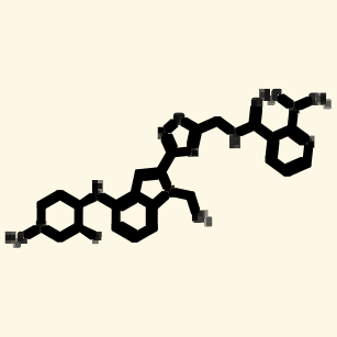 CN1CC[C@@H](Nc2cccc3c2cc(-c2noc(CNC(=O)c4cccnc4N(C)C)n2)n3CC(F)(F)F)[C@@H](F)C1